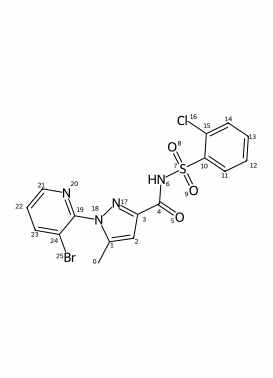 Cc1cc(C(=O)NS(=O)(=O)c2ccccc2Cl)nn1-c1ncccc1Br